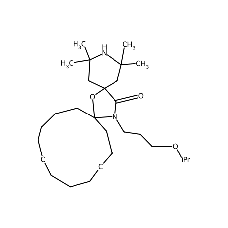 CC(C)OCCCN1C(=O)C2(CC(C)(C)NC(C)(C)C2)OC12CCCCCCCCCCC2